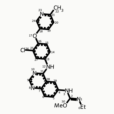 CC/N=C(/Nc1ccc2ncnc(Nc3ccc(Oc4ccc(C)nc4)c(Cl)c3)c2c1)OC